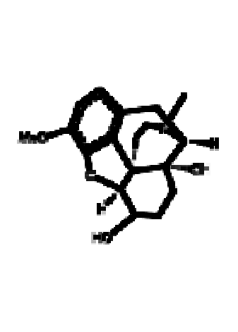 COc1ccc2c3c1O[C@@H]1C(O)CC[C@]4(O)[C@H](C2)N(C)CC[C@@]314